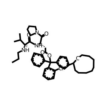 CCCN[C@H](C(=O)N[C@@H](CC(=O)OC(c1ccccc1)(c1ccc(C2CCCCCCCCC2)cc1)c1ccccc1Cl)C(=O)N1CCCC1)C(C)C